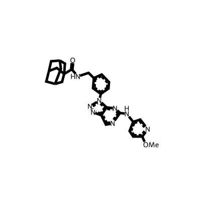 COc1ccc(Nc2ncc3nnn(-c4cccc(CNC(=O)C56CC7CC(CC(C7)C5)C6)c4)c3n2)cn1